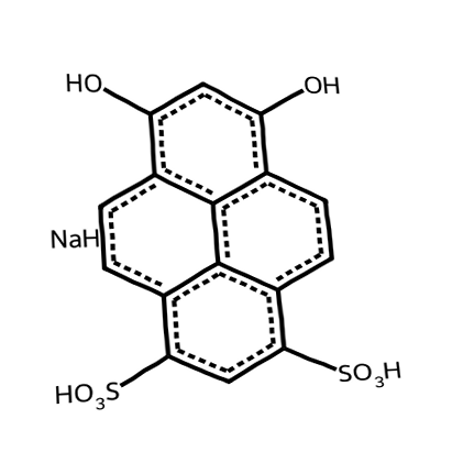 O=S(=O)(O)c1cc(S(=O)(=O)O)c2ccc3c(O)cc(O)c4ccc1c2c43.[NaH]